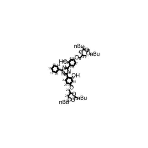 CCCCOCC(COc1ccc(-c2nc(-c3ccccc3)nc(-c3ccc(OCC(COCCCC)OC(=O)CCCC)cc3O)n2)c(O)c1)OC(=O)CCCC